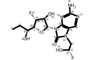 CC[C@H](O)[C@H]1O[C@@H](n2c(=O)n(C[C@H](C)O)c3cnc(N)nc32)[C@H](O)[C@H]1F